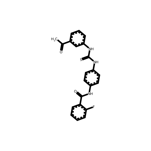 CC(=O)c1cccc(NC(=S)Nc2ccc(NC(=O)c3ccccc3F)cc2)c1